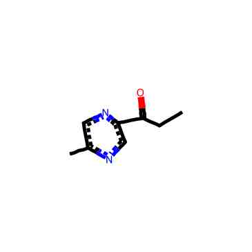 CCC(=O)c1cnc(C)cn1